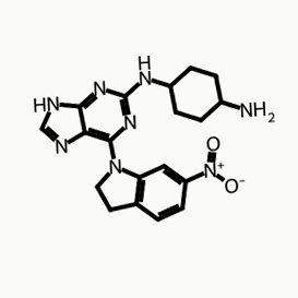 NC1CCC(Nc2nc(N3CCc4ccc([N+](=O)[O-])cc43)c3nc[nH]c3n2)CC1